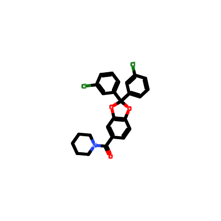 O=C(c1ccc2c(c1)OC(c1cccc(Cl)c1)(c1cccc(Cl)c1)O2)N1CCCCC1